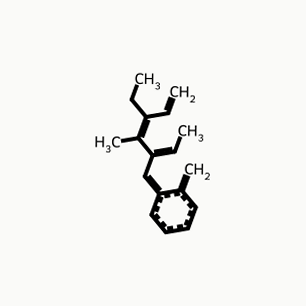 C=C/C(CC)=C(/C)C(=CC)/C=c1/ccccc1=C